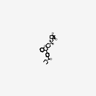 CCN(CC)C(=O)c1ccc(C2CC3(CCN(S(=O)(=O)CC45CC[C@H](CC4=O)C5(C)C)CC3)Oc3ccccc32)cc1